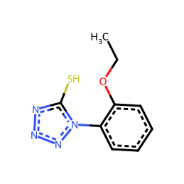 CCOc1ccccc1-n1nnnc1S